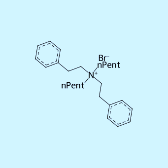 CCCCC[N+](CCCCC)(CCc1ccccc1)CCc1ccccc1.[Br-]